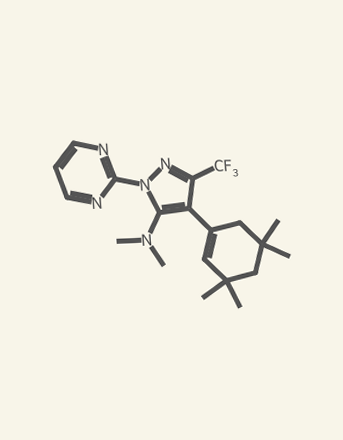 CN(C)c1c(C2=CC(C)(C)CC(C)(C)C2)c(C(F)(F)F)nn1-c1ncccn1